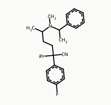 CC(CCC(C#N)(c1ccc(F)cc1)C(C)C)N(C)C(C)c1ccccc1